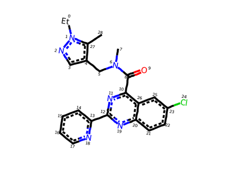 CCn1ncc(CN(C)C(=O)c2nc(-c3ccccn3)nc3ccc(Cl)cc23)c1C